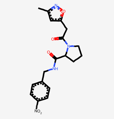 Cc1cc(CC(=O)N2CCCC2C(=O)NCc2ccc([N+](=O)[O-])cc2)on1